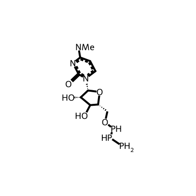 CNc1ccn([C@@H]2O[C@H](COPPP)C(O)[C@@H]2O)c(=O)n1